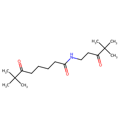 CC(C)(C)C(=O)CCCCC(=O)NCCC(=O)C(C)(C)C